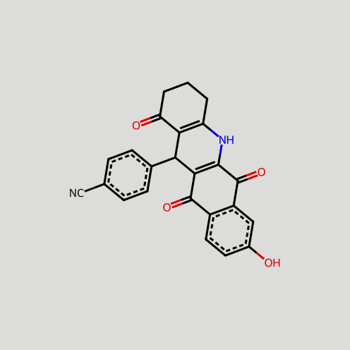 N#Cc1ccc(C2C3=C(CCCC3=O)NC3=C2C(=O)c2ccc(O)cc2C3=O)cc1